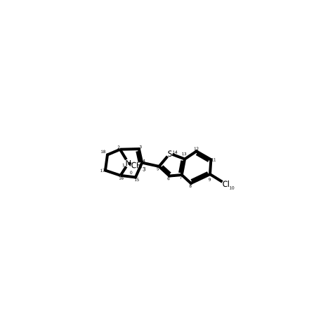 CN1C2C=C(c3cc4cc(Cl)ccc4s3)CC1CC2